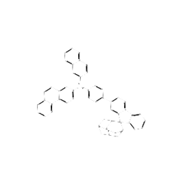 c1ccc2c(c1)-c1ccc(-c3ccc(N(c4ccc5ccccc5c4)c4ccc5c(ccc6ccccc65)c4)cc3)cc1C21C2CC3CC(C2)CC1C3